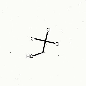 O[CH]C(Cl)(Cl)Cl